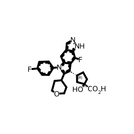 O=C(O)[C@]1(O)CC[C@@H](c2c(C3CCOCC3)n(-c3ccc(F)cc3)c3cc4cn[nH]c4c(F)c23)C1